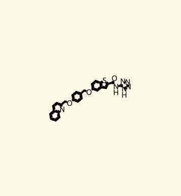 O=C(Nc1nnn[nH]1)c1cc2cc(OCc3ccc(OCc4ccc5ccccc5n4)cc3)ccc2s1